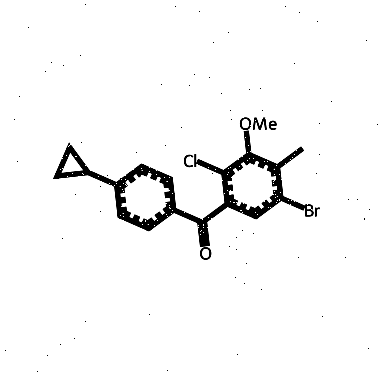 COc1c(C)c(Br)cc(C(=O)c2ccc(C3CC3)cc2)c1Cl